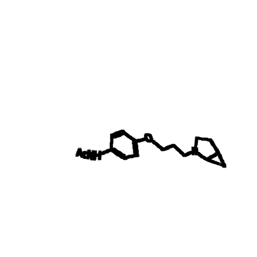 CC(=O)Nc1ccc(OCCCN2CCC3CC32)cc1